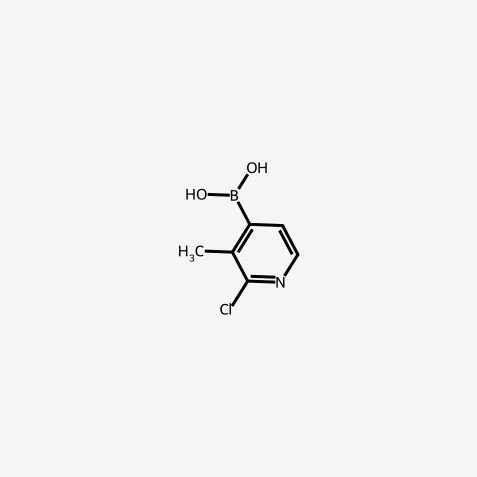 Cc1c(B(O)O)ccnc1Cl